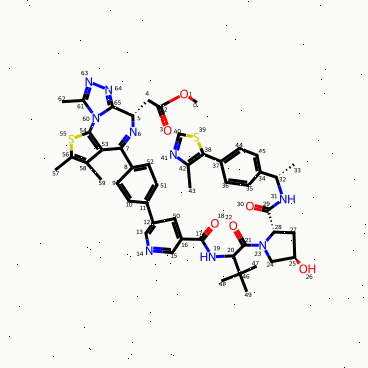 COC(=O)C[C@@H]1N=C(c2ccc(-c3cncc(C(=O)NC(C(=O)N4C[C@H](O)C[C@H]4C(=O)N[C@@H](C)c4ccc(-c5scnc5C)cc4)C(C)(C)C)c3)cc2)c2c(sc(C)c2C)-n2c(C)nnc21